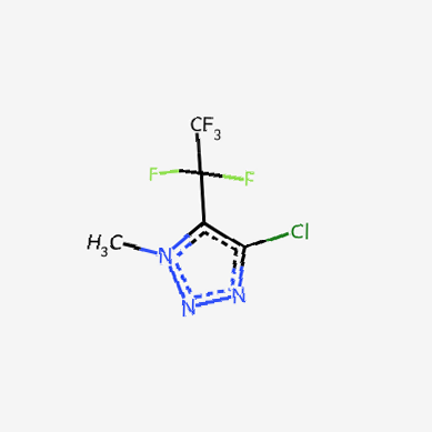 Cn1nnc(Cl)c1C(F)(F)C(F)(F)F